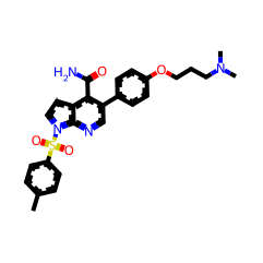 Cc1ccc(S(=O)(=O)n2c[c]c3c(C(N)=O)c(-c4ccc(OCCCN(C)C)cc4)cnc32)cc1